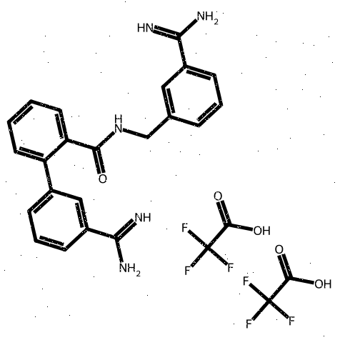 N=C(N)c1cccc(CNC(=O)c2ccccc2-c2cccc(C(=N)N)c2)c1.O=C(O)C(F)(F)F.O=C(O)C(F)(F)F